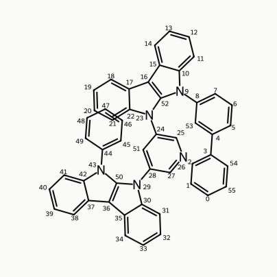 c1ccc(-c2cccc(-n3c4ccccc4c4c5ccccc5n(-c5cncc(-n6c7ccccc7c7c8ccccc8n(-c8ccccc8)c76)c5)c43)c2)cc1